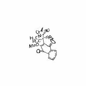 CCCC(C)(C(=O)N(C)C)C1=C(OC)C(=O)c2ccccc2C1=O